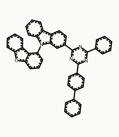 c1ccc(-c2ccc(-c3nc(-c4ccccc4)nc(-c4ccc5c6ccccc6n(-c6cccc7oc8ccccc8c67)c5c4)n3)cc2)cc1